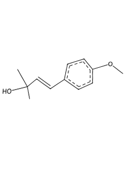 COc1ccc(C=CC(C)(C)O)cc1